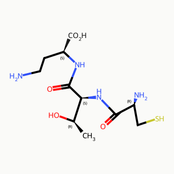 C[C@@H](O)[C@H](NC(=O)[C@@H](N)CS)C(=O)N[C@@H](CCN)C(=O)O